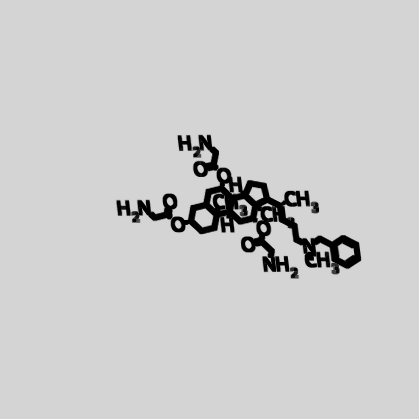 C[C@H](CCCN(C)Cc1ccccc1)C1CC[C@H]2C3[C@H](OC(=O)CN)CC4C[C@H](OC(=O)CN)CCC4(C)[C@H]3C[C@H](OC(=O)CN)[C@@]12C